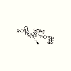 COC(=O)c1nc(N(CCCCCN(C)C)c2cc(C)c(/N=c3\sc4ccccc4n3COCC[Si](C)(C)C)nn2)sc1CCCOc1ccc(C#CCN(C)C(=O)OC(C)(C)C)cc1F